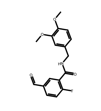 COc1ccc(CNC(=O)c2cc(C=O)ccc2F)cc1OC